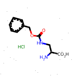 Cl.NC(CNC(=O)OCc1ccccc1)C(=O)O